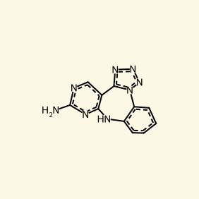 Nc1ncc2c(n1)Nc1ccccc1-n1nnnc1-2